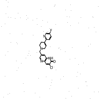 O=c1[nH]c2cc(CN3CC=C(c4ccc(F)cn4)CC3)cnc2cc1Cl